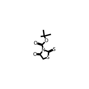 CC(C)(C)OC(=O)N1C(=O)CSC1=S